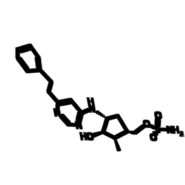 C[C@@H]1[C@@H](COS(N)(=O)=O)C[C@@H](Nc2cc(CCc3ccccc3)ncn2)[C@@H]1O